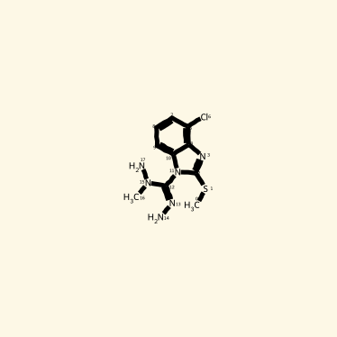 CSc1nc2c(Cl)cccc2n1/C(=N/N)N(C)N